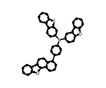 c1ccc2c(c1)oc1ccc(N(c3ccc(-c4cccc5c4ccc4c6ccccc6oc54)cc3)c3ccc4c(c3)sc3ccccc34)cc12